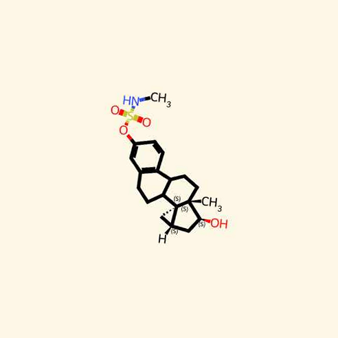 CNS(=O)(=O)Oc1ccc2c(c1)CCC1C2CC[C@]2(C)[C@@H](O)C[C@@H]3C[C@@]132